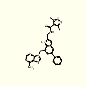 Cc1noc(C)c1C(=O)NCc1cc2cc(-c3ccccc3)cc(Cn3cnc4c(N)ncnc43)c2[nH]1